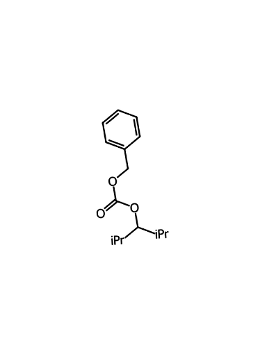 CC(C)C(OC(=O)OCc1ccccc1)C(C)C